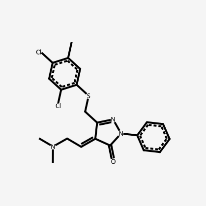 Cc1cc(SCC2=NN(c3ccccc3)C(=O)/C2=C/CN(C)C)c(Cl)cc1Cl